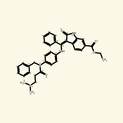 CCOC(=O)c1ccc2c(c1)NC(=O)C2=C(Nc1ccc(N(Cc2ccccc2)C(=O)CCN(C)C)cc1)c1ccccc1